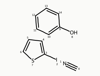 C#N.Ic1cccs1.Oc1ccccc1